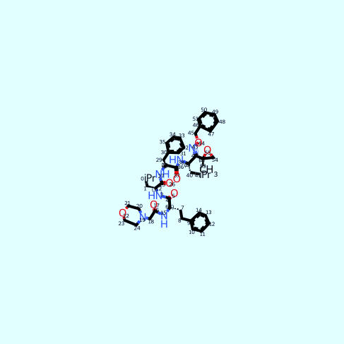 CC(C)C[C@H](NC(=O)[C@H](CCc1ccccc1)NC(=O)CN1CCOCC1)C(=O)N[C@@H](Cc1ccccc1)C(=O)N[C@@H](CC(C)C)/C(=N/OCc1ccccc1)[C@@]1(C)CO1